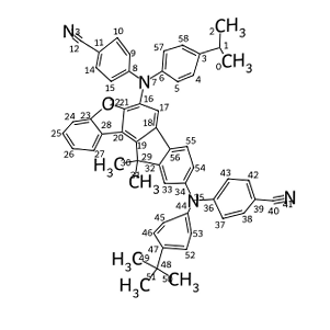 CC(C)c1ccc(N(c2ccc(C#N)cc2)c2cc3c(c4c2oc2ccccc24)C(C)(C)c2cc(N(c4ccc(C#N)cc4)c4ccc(C(C)(C)C)cc4)ccc2-3)cc1